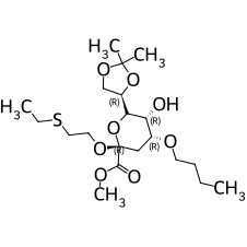 CCCCO[C@@H]1C[C@](OCCSCC)(C(=O)OC)OC([C@H]2COC(C)(C)O2)[C@@H]1O